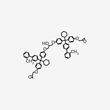 Cc1ccccc1-c1ccc(C(c2ccc(OCC(O)COc3ccc(C(c4ccc(OCC5CO5)cc4)(c4ccc(-c5ccccc5C)cc4)C4CCCCC4)cc3)cc2)(c2ccc(OCC3CO3)cc2)C2CCCCC2)cc1